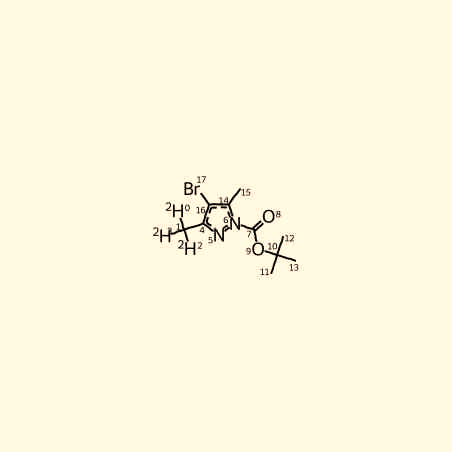 [2H]C([2H])([2H])c1nn(C(=O)OC(C)(C)C)c(C)c1Br